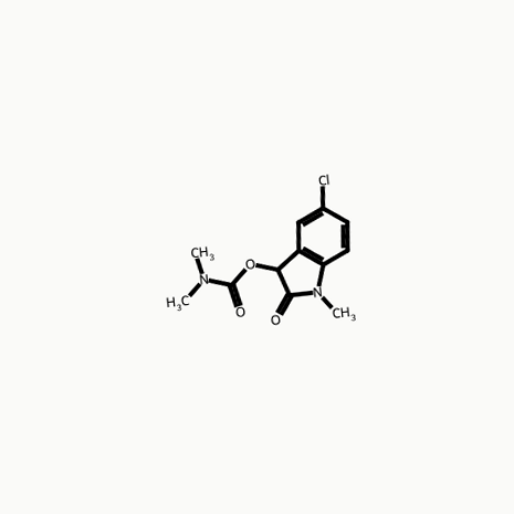 CN(C)C(=O)OC1C(=O)N(C)c2ccc(Cl)cc21